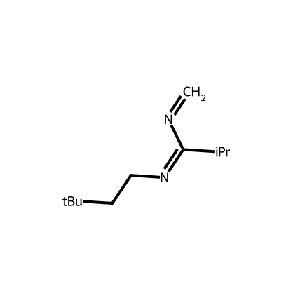 C=N/C(=N\CCC(C)(C)C)C(C)C